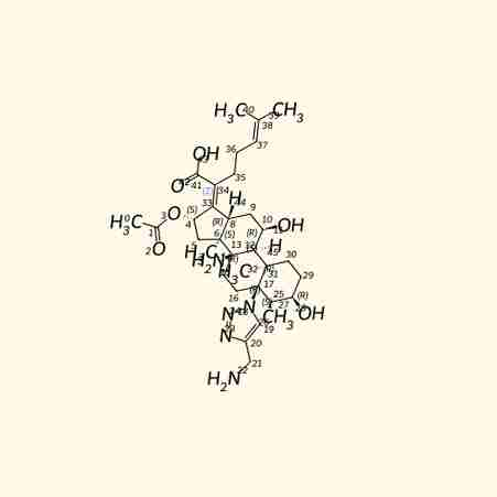 CC(=O)O[C@H]1C[C@@]2(C)[C@@H](C[C@@H](O)[C@@H]3[C@]2(N)CC[C@@]2(n4cc(CN)nn4)[C@H](C)[C@H](O)CC[C@]32C)/C1=C(\CCC=C(C)C)C(=O)O